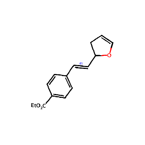 CCOC(=O)c1ccc(/C=C/C2CC=CO2)cc1